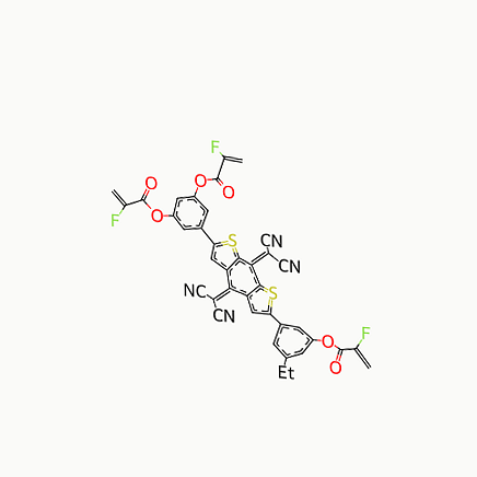 C=C(F)C(=O)Oc1cc(CC)cc(-c2cc3c(=C(C#N)C#N)c4cc(-c5cc(OC(=O)C(=C)F)cc(OC(=O)C(=C)F)c5)sc4c(=C(C#N)C#N)c3s2)c1